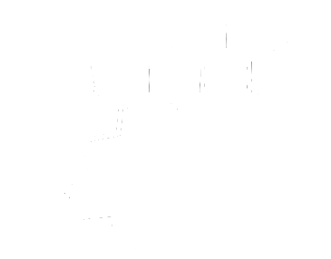 CC(NS(=O)(=O)c1cc(C(O)Nc2ccc(F)c(Cl)c2F)n(C)c1)C(F)F